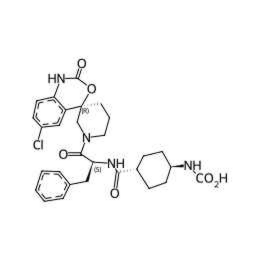 O=C(O)N[C@H]1CC[C@H](C(=O)N[C@@H](Cc2ccccc2)C(=O)N2CCC[C@@]3(C2)OC(=O)Nc2ccc(Cl)cc23)CC1